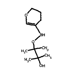 CC(C)(O)C(C)(C)OBC1=COCCC1